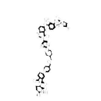 N#Cc1c(NS(=O)(=O)N2CC[C@@H](F)C2)ccc(F)c1Oc1ccc2ncn(-c3cnc(N4CCC(COCC5CCN(c6ccc7c(c6)C(=O)N(C6CCC(=O)NC6=O)C7=O)CC5)CC4)nc3)c(=O)c2c1